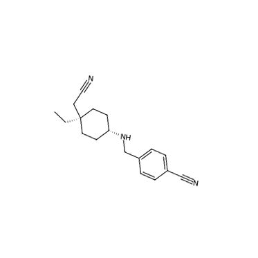 CC[C@]1(CC#N)CC[C@H](NCc2ccc(C#N)cc2)CC1